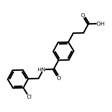 O=C(O)CCc1ccc(C(=O)NCc2ccccc2Cl)cc1